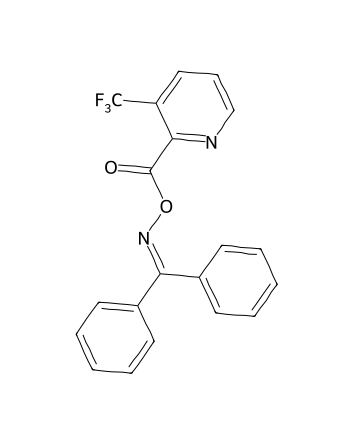 O=C(ON=C(c1ccccc1)c1ccccc1)c1ncccc1C(F)(F)F